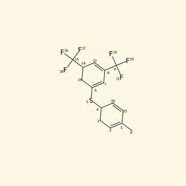 CC1=CCC(SC2=CC(C(F)(F)F)=CC(C(F)(F)F)C2)C=C1